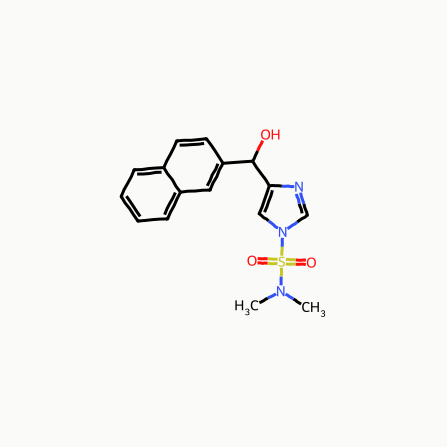 CN(C)S(=O)(=O)n1cnc(C(O)c2ccc3ccccc3c2)c1